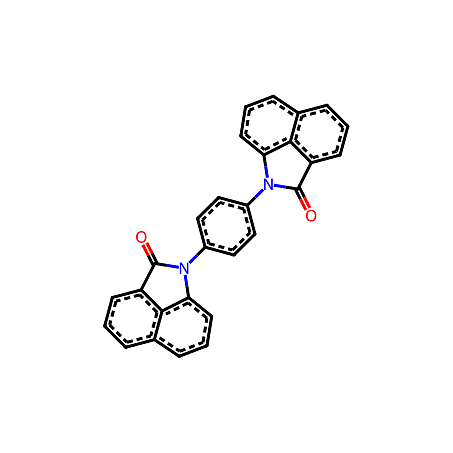 O=C1c2cccc3cccc(c23)N1c1ccc(N2C(=O)c3cccc4cccc2c34)cc1